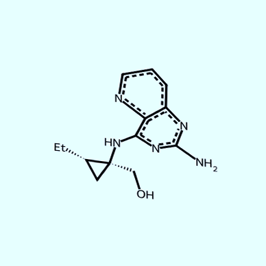 CC[C@H]1C[C@]1(CO)Nc1nc(N)nc2cccnc12